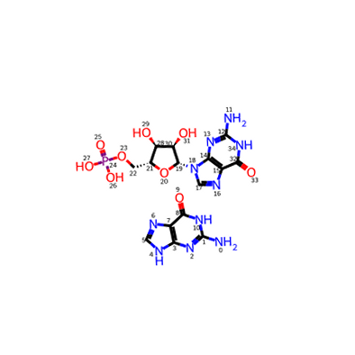 Nc1nc2[nH]cnc2c(=O)[nH]1.Nc1nc2c(ncn2[C@@H]2O[C@H](COP(=O)(O)O)[C@@H](O)[C@H]2O)c(=O)[nH]1